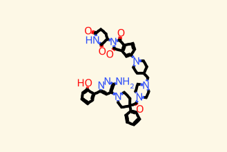 Nc1nnc(-c2ccccc2O)cc1N1CCC(C(=O)N2CCN(CC3CCN(c4ccc5c(c4)C(=O)N(C4CCC(=O)NC4=O)C5=O)CC3)CC2)(c2ccccc2)CC1